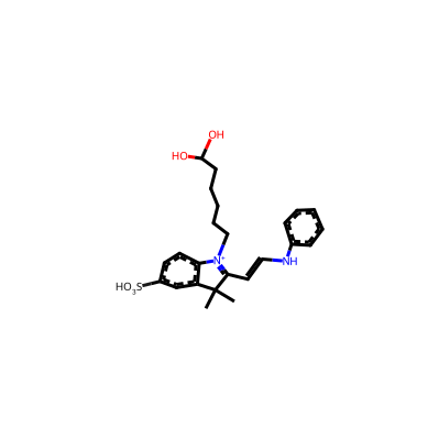 CC1(C)C(/C=C/Nc2ccccc2)=[N+](CCCCCC(O)O)c2ccc(S(=O)(=O)O)cc21